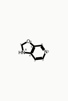 [c]1nccc2c1OCN2